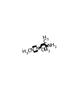 CC(=CC(C)N1CCN(C)CC1)C(N)=O